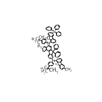 Cc1ccc2oc3c(N(c4ccc(C(C)(C)C)cc4)c4ccc5c(c4)C(c4ccccc4)(c4ccccc4)c4cc(N(c6ccc(C(C)(C)C)cc6)c6cccc7c6oc6ccc([Si](c8ccccc8)(c8ccccc8)c8ccccc8)cc67)c6ccccc6c4-5)cccc3c2c1